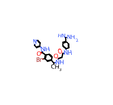 CC(NC(=O)CC(=O)Nc1ccc(C(=N)N)cc1)c1ccc(C(=O)Nc2ccncc2)c(Br)c1